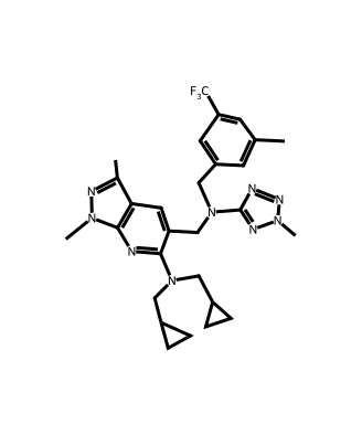 Cc1cc(CN(Cc2cc3c(C)nn(C)c3nc2N(CC2CC2)CC2CC2)c2nnn(C)n2)cc(C(F)(F)F)c1